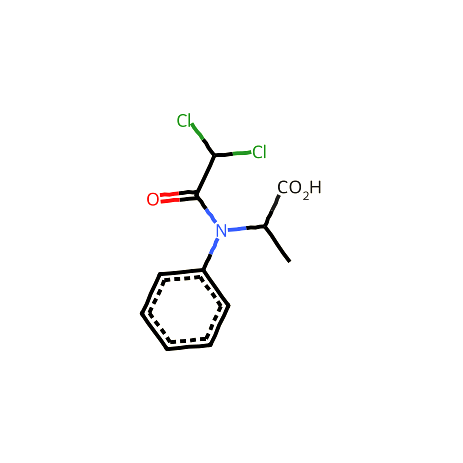 CC(C(=O)O)N(C(=O)C(Cl)Cl)c1ccccc1